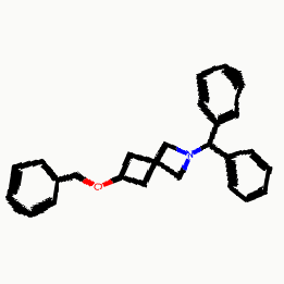 c1ccc(COC2CC3(C2)CN(C(c2ccccc2)c2ccccc2)C3)cc1